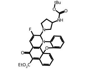 CCOC(=O)C1=C2C=CC=CC23Oc2ccccc2N2C3=C(C=C(F)C2N2CCC(NC(=O)OC(C)(C)C)C2)C1=O